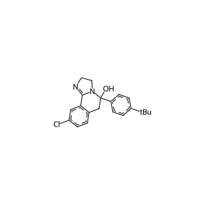 CC(C)(C)c1ccc(C2(O)Cc3ccc(Cl)cc3C3=NCCN32)cc1